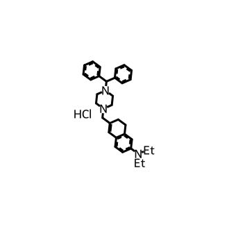 CCN(CC)c1ccc2c(c1)CCC(CN1CCN(C(c3ccccc3)c3ccccc3)CC1)=C2.Cl